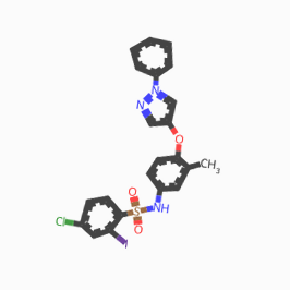 Cc1cc(NS(=O)(=O)c2ccc(Cl)cc2I)ccc1Oc1cnn(-c2ccccc2)c1